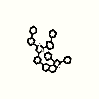 C1=CCCC(c2cccc(C3=CC(c4cccc(C5=CC=C6C=Cc7nc(-c8ccccc8)cc(-c8ccccc8)c7C6C5)c4)NC(c4cccc(-c5ccccc5)c4)=N3)c2)=C1